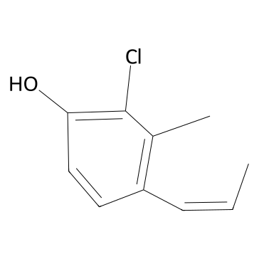 C/C=C\c1ccc(O)c(Cl)c1C